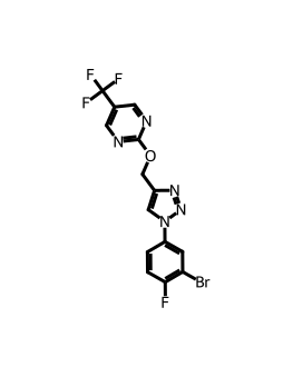 Fc1ccc(-n2cc(COc3ncc(C(F)(F)F)cn3)nn2)cc1Br